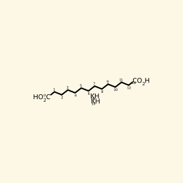 O=C(O)CCCCCCCCCCCCC(=O)O.[KH].[KH]